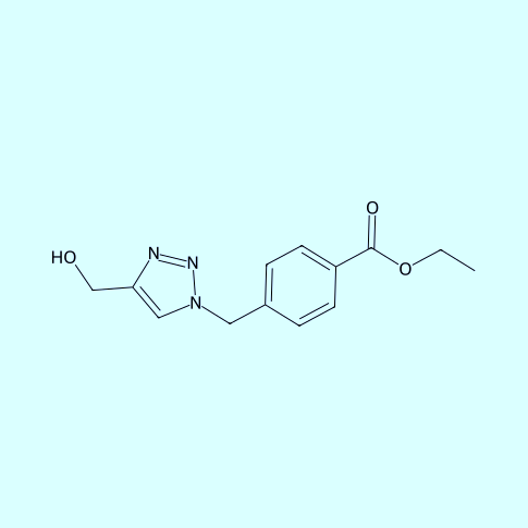 CCOC(=O)c1ccc(Cn2cc(CO)nn2)cc1